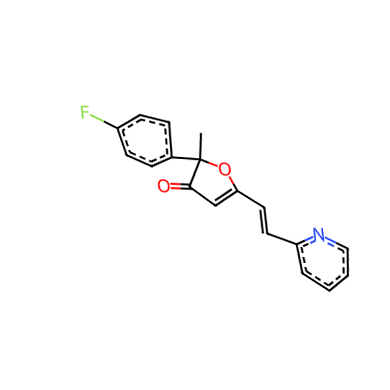 CC1(c2ccc(F)cc2)OC(C=Cc2ccccn2)=CC1=O